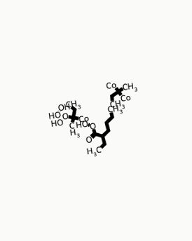 CCCCC(CC)C(=O)OO.CC[C](C)([Co])OO.CC[C](C)([Co])[Co].OO